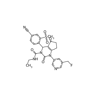 CCNC(=O)N1C(=O)N(c2cncc(CF)c2)C2=C(C(=O)CC2)C1c1ccc(C#N)cc1S(C)(=O)=O